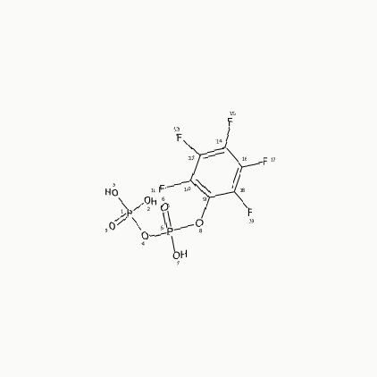 O=P(O)(O)OP(=O)(O)Oc1c(F)c(F)c(F)c(F)c1F